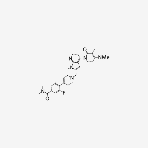 CNc1ccn(-c2ccnc3c2cc(CN2CC=C(c4c(C)cc(C(=O)N(C)C)cc4F)CC2)n3C)c(=O)c1C